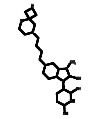 CN1C2CC(CCCCN3CCOC4(CNC4)C3)CCC2N(C2CCC(O)NC2O)C1O